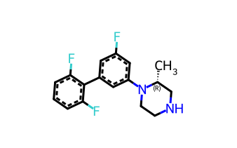 C[C@@H]1CNCCN1c1cc(F)cc(-c2c(F)cccc2F)c1